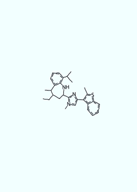 CCC1CC(c2nc(-c3c(C)sc4ccccc34)cn2C)Nc2c(C(C)C)cccc2C1C